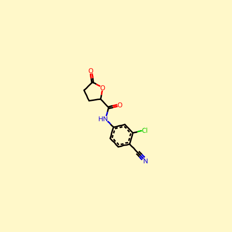 N#Cc1ccc(NC(=O)C2CCC(=O)O2)cc1Cl